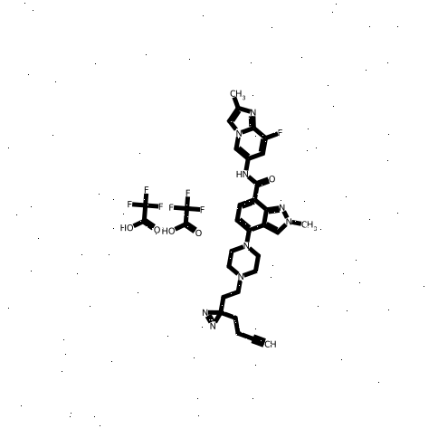 C#CCCC1(CCN2CCN(c3ccc(C(=O)Nc4cc(F)c5nc(C)cn5c4)c4nn(C)cc34)CC2)N=N1.O=C(O)C(F)(F)F.O=C(O)C(F)(F)F